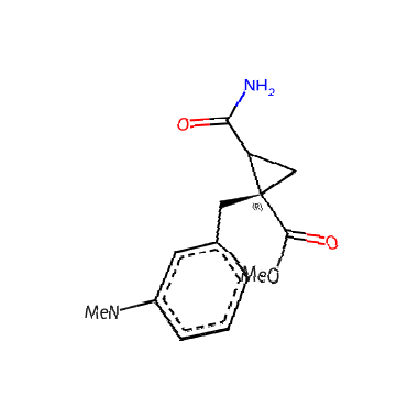 CNc1cccc(C[C@]2(C(=O)OC)CC2C(N)=O)c1